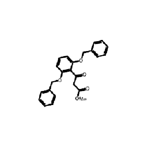 COC(=O)CC(=O)c1c(OCc2ccccc2)cccc1OCc1ccccc1